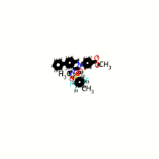 COC(=O)c1ccc(N(Cc2ccc(C3CCCCC3)cc2)C(=O)CN(C)S(=O)(=O)c2c(F)c(F)c(C)c(F)c2F)cc1